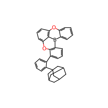 c1ccc2c(c1)Oc1cccc3c1B2c1cccc(-c2ccccc2C24CC5CC(CC(C5)C2)C4)c1O3